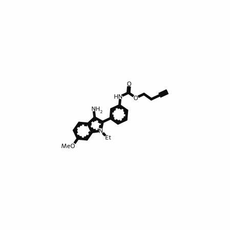 C#CCCOC(=O)Nc1cccc(-c2c(N)c3ccc(OC)cc3n2CC)c1